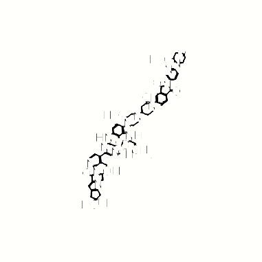 C=CC(=O)Nc1cc(Nc2nc(-c3ccnc(N4CCn5c(cc6c5CC(C)(C)C6)C4=O)c3CO)cn(C)c2=O)ccc1N1CCN(C2CCN(c3ccc4c(c3)C(=O)N(c3ccc(N5CCOC[C@@H]5C)nc3)C4=O)[C@@H](C)C2)C[C@@H]1C